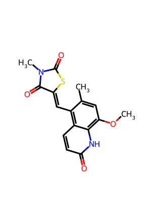 COc1cc(C)c(C=C2SC(=O)N(C)C2=O)c2ccc(=O)[nH]c12